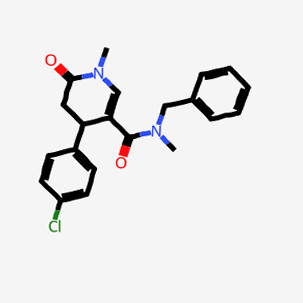 CN1C=C(C(=O)N(C)Cc2ccccc2)C(c2ccc(Cl)cc2)CC1=O